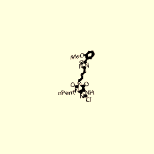 CCCCCn1c(=O)n(CCCCc2noc(-c3ccccc3OC)n2)c(=O)c2[nH]c(Cl)nc21